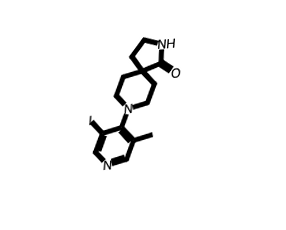 Cc1cncc(I)c1N1CCC2(CCNC2=O)CC1